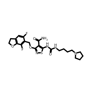 NC(=O)c1c(OCc2c(F)cc3c(c2F)OCC3)nsc1NC(=O)NCCCCN1CCCC1